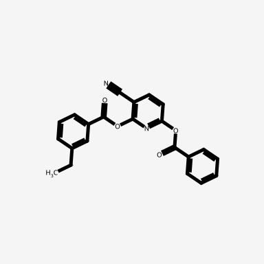 C[CH]c1cccc(C(=O)Oc2nc(OC(=O)c3ccccc3)ccc2C#N)c1